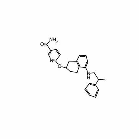 CC(CNc1cccc2c1CCC(Oc1ccc(C(N)=O)cn1)C2)c1ccccc1